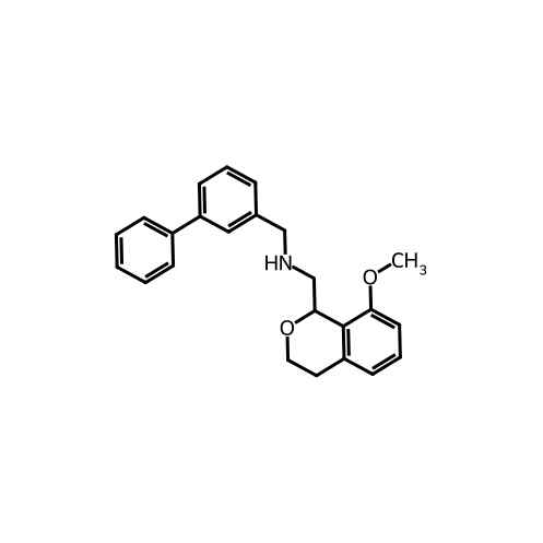 COc1cccc2c1C(CNCc1cccc(-c3ccccc3)c1)OCC2